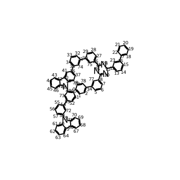 c1ccc(-c2cccc(-c3nc(-c4cccc(-c5ccccc5)c4)nc(-c4cccc(-c5cccc(-c6ccc7c(c6)c6ccccc6n7-c6cccc(-c7cccc(-n8c9ccccc9c9ccccc98)c7)c6)c5)c4)n3)c2)cc1